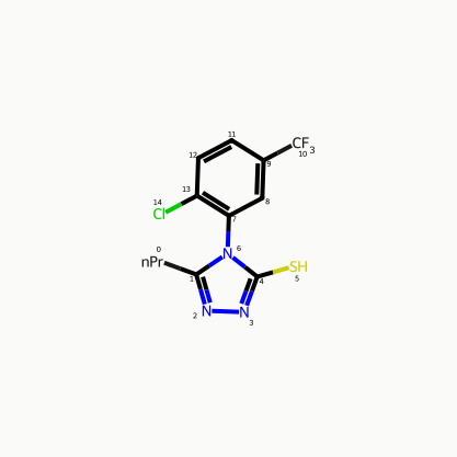 CCCc1nnc(S)n1-c1cc(C(F)(F)F)ccc1Cl